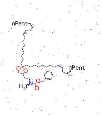 CCCCC/C=C\C/C=C\CCCCCCCCC1(CCCCCCCC/C=C\C/C=C\CCCCC)OCC(CCN(C)C(=O)OCc2ccccc2)O1